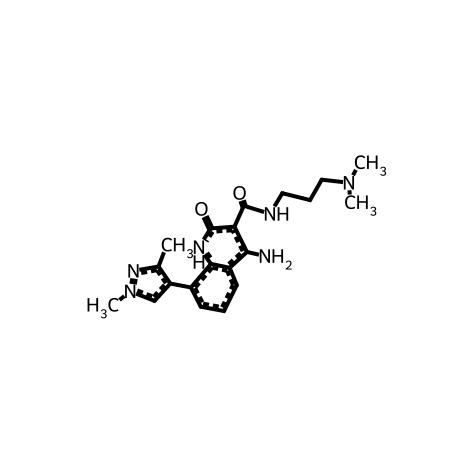 Cc1nn(C)cc1-c1cccc2c(N)c(C(=O)NCCCN(C)C)c(=O)[nH]c12